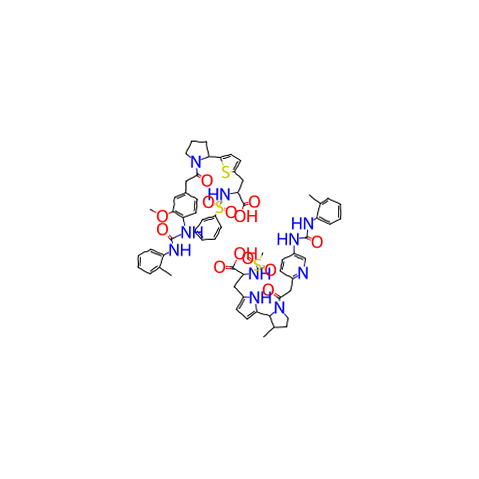 COc1cc(CC(=O)N2CCCC2c2ccc(CC(NS(=O)(=O)c3ccccc3)C(=O)O)s2)ccc1NC(=O)Nc1ccccc1C.Cc1ccccc1NC(=O)Nc1ccc(CC(=O)N2CCC(C)C2c2ccc(CC(NS(C)(=O)=O)C(=O)O)[nH]2)nc1